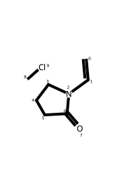 C=CN1CCCC1=O.CCl